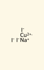 [Cu+2].[I-].[I-].[I-].[Na+]